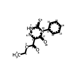 CCOC(=O)c1n[nH]c(=S)n(-c2ccccc2)c1=O